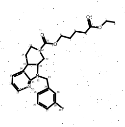 CCOC(=O)CCCCOC(=O)N1CCC2c3cccnc3N(Cc3cccc(F)c3)C2C1